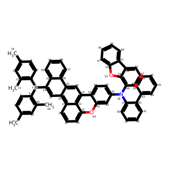 Cc1ccc(B(c2ccc(C)cc2C)c2cc3c4cccc5c4c(cc3c3ccccc23)-c2ccc(N(c3ccccc3-c3ccccc3)c3cccc4c3oc3ccccc34)cc2O5)c(C)c1